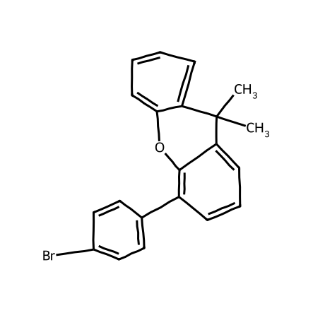 CC1(C)c2ccccc2Oc2c(-c3ccc(Br)cc3)cccc21